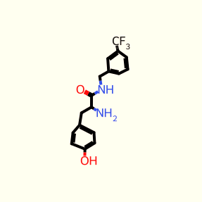 NC(Cc1ccc(O)cc1)C(=O)NCc1cccc(C(F)(F)F)c1